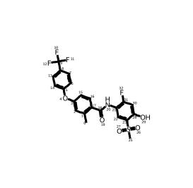 Cc1cc(Oc2ccc(C(F)(F)F)cc2)ccc1C(=O)Nc1cc(S(C)(=O)=O)c(O)cc1F